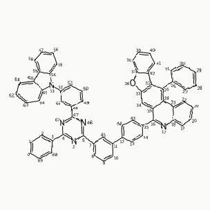 c1ccc(-c2nc(-c3cccc(-c4ccc(-c5nc6ccccc6c6c(-c7ccccc7)c7c(cc56)oc5ccccc57)cc4)c3)nc(-c3cccc(-n4c5ccccc5c5ccccc54)c3)n2)cc1